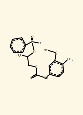 CCP(=O)(OC(C)COC(=O)Nc1ccc(C)c(OC#N)c1)c1ccccc1